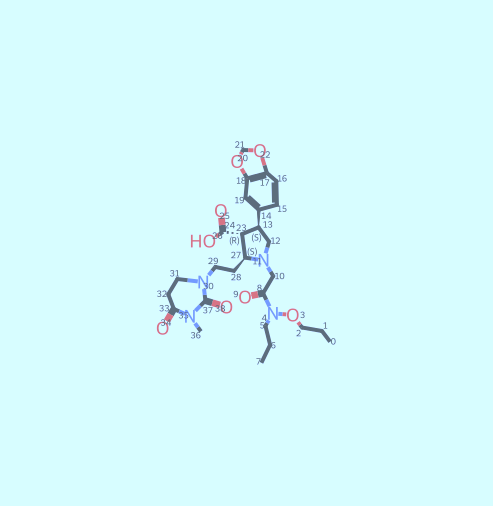 CCCON(CCC)C(=O)CN1C[C@H](c2ccc3c(c2)OCO3)[C@@H](C(=O)O)[C@@H]1CCN1CCC(=O)N(C)C1=O